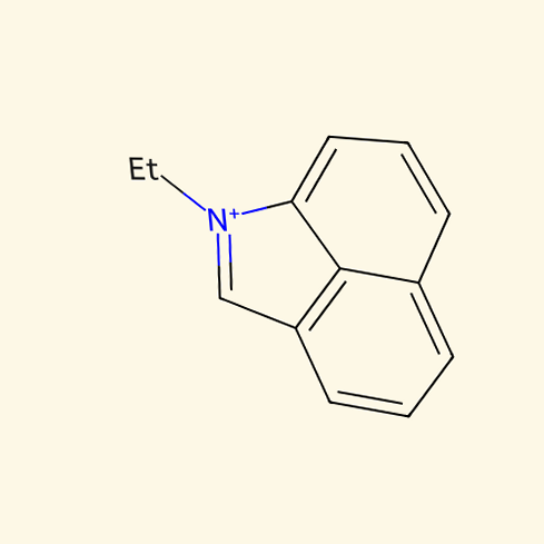 CC[N+]1=Cc2cccc3cccc1c23